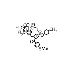 CCOC(=O)C(C)(C)Oc1c(C)cc(C[C@H]2CN(C(=O)OC3CCC(C)CC3)CC2C(=O)c2ccc(SC)cc2)cc1C